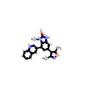 Cc1noc(C)c1-c1cc(-c2cnc3ccccc3c2)c2c(c1)[nH]c(=O)n2C